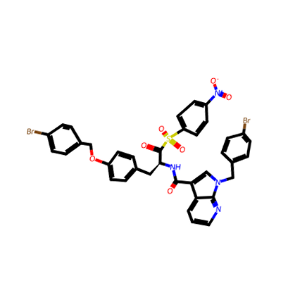 O=C(N[C@@H](Cc1ccc(OCc2ccc(Br)cc2)cc1)C(=O)S(=O)(=O)c1ccc([N+](=O)[O-])cc1)c1cn(Cc2ccc(Br)cc2)c2ncccc12